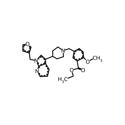 CCOC(=O)c1cc(CN2CCC(c3cn(Cc4ccoc4)c4ncccc34)CC2)ccc1OC